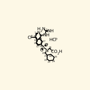 Cl.N=C(N)Nc1ncc(Cl)c2ccc(S(=O)(=O)N(CC(=O)O)CC3CCCCC3)cc12